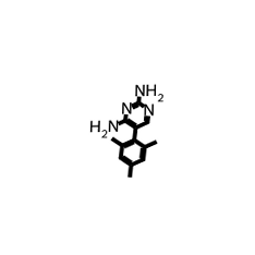 Cc1cc(C)c(-c2cnc(N)nc2N)c(C)c1